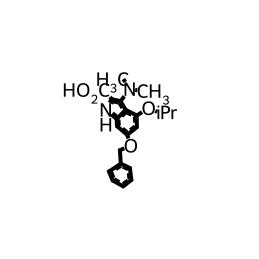 CC(C)Oc1cc(OCc2ccccc2)cc2[nH]c(C(=O)O)c(N(C)C)c12